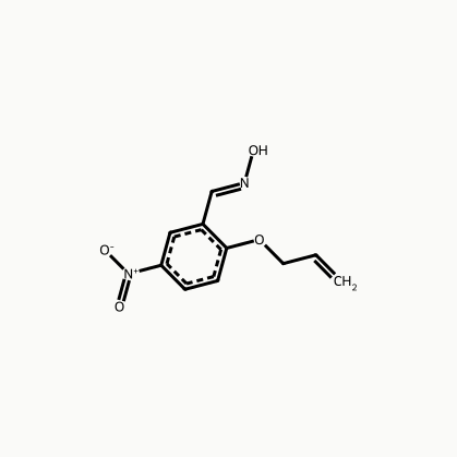 C=CCOc1ccc([N+](=O)[O-])cc1C=NO